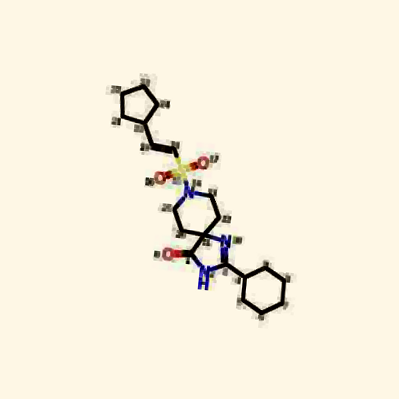 O=C1NC(C2CCCCC2)=NC12CCN(S(=O)(=O)C=CC1CCCC1)CC2